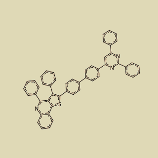 c1ccc(-c2cc(-c3ccc(-c4ccc(-c5sc6c(c(-c7ccccc7)nc7ccccc76)c5-c5ccccc5)cc4)cc3)nc(-c3ccccc3)n2)cc1